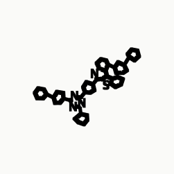 c1ccc(-c2ccc(-c3nc(-c4ccccc4)nc(-c4ccc(-c5nc6cccc(-c7cccc(-c8ccccc8)c7)c6c6c5sc5ccccc56)cc4)n3)cc2)cc1